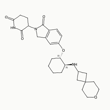 O=C1CCC(N2Cc3cc(O[C@H]4CCCC[C@@H]4NC4CC5(CCOCC5)C4)ccc3C2=O)C(=O)N1